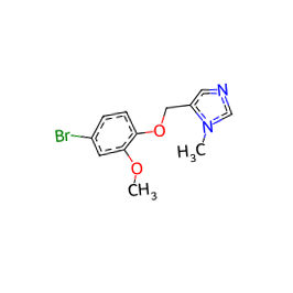 COc1cc(Br)ccc1OCc1cncn1C